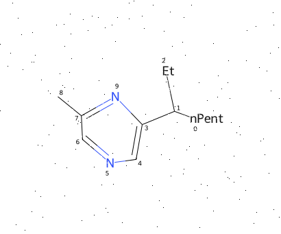 CCCCCC(CC)c1cncc(C)n1